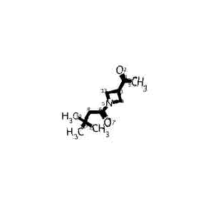 CC(=O)C1CN(C(=O)CC(C)(C)C)C1